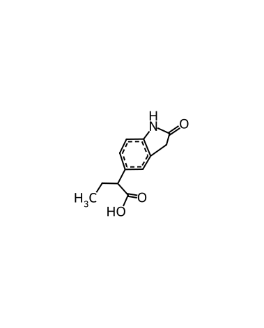 CCC(C(=O)O)c1ccc2c(c1)CC(=O)N2